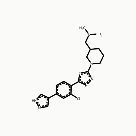 CN(C)CC1CCCN(c2nnc(-c3ccc(-c4cn[nH]c4)cc3Cl)s2)C1